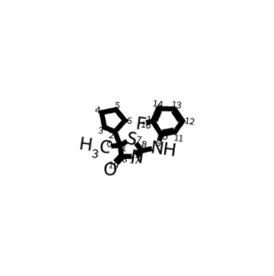 CC1(C2CCCC2)SC(Nc2ccccc2F)=NC1=O